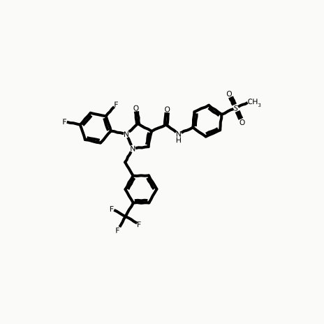 CS(=O)(=O)c1ccc(NC(=O)c2cn(Cc3cccc(C(F)(F)F)c3)n(-c3ccc(F)cc3F)c2=O)cc1